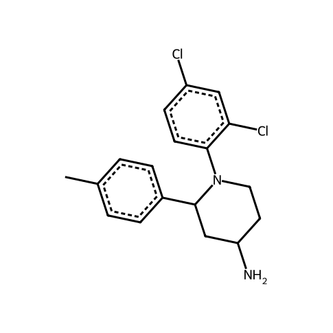 Cc1ccc(C2CC(N)CCN2c2ccc(Cl)cc2Cl)cc1